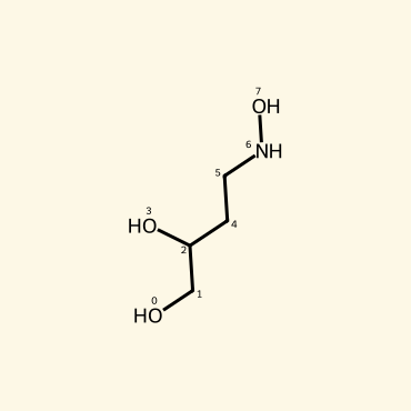 OCC(O)CCNO